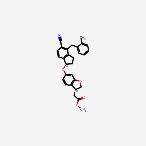 COC(=O)C[C@@H]1COc2cc(O[C@@H]3CCc4c3ccc(C#N)c4Cc3ccccc3C)ccc21